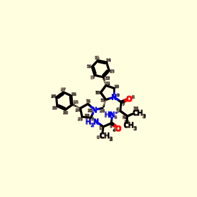 CC(N)C(=O)N[C@H](C(=O)N1C[C@@H](c2ccccc2)C[C@H]1CN1CC[C@H](c2ccccc2)C1)C(C)C